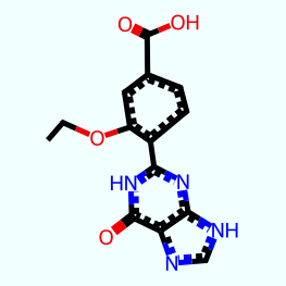 CCOc1cc(C(=O)O)ccc1-c1nc2[nH]cnc2c(=O)[nH]1